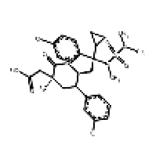 CN(C)S(=O)(=O)N(C)[C@](C[C@@H]1NC(=O)[C@](C)(CC(=O)O)C[C@@H]1c1cccc(Cl)c1)(c1ccc(Cl)cc1)C1CC1